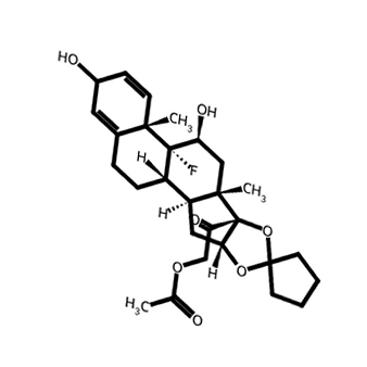 CC(=O)OCC(=O)[C@@]12OC3(CCCC3)O[C@@H]1C[C@H]1[C@@H]3CCC4=CC(O)C=C[C@]4(C)[C@@]3(F)[C@@H](O)C[C@@]12C